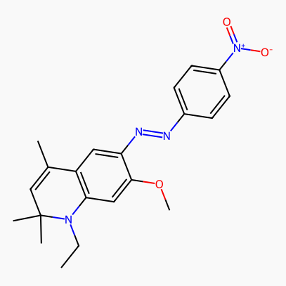 CCN1c2cc(OC)c(N=Nc3ccc([N+](=O)[O-])cc3)cc2C(C)=CC1(C)C